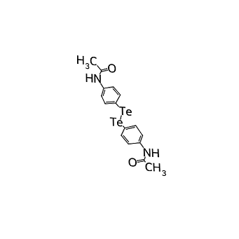 CC(=O)Nc1ccc([Te][Te]c2ccc(NC(C)=O)cc2)cc1